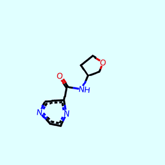 O=C(NC1CCOC1)c1cnccn1